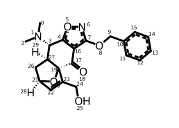 CN(C)[C@@H]1c2onc(OCc3ccccc3)c2C(=O)[C@@]23O[C@@H](C=C2CO)C[C@@H]13